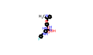 Cc1cc(COc2ccc(C(=O)NC3(CC(=O)NO)CCC(NCc4ccc(F)cc4)CC3)cc2)c2ccccc2n1